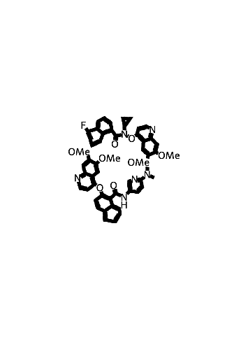 COc1cc2nccc(ON(C(=O)c3cccc4c(F)cccc34)C3CC3)c2cc1OC.COc1cc2nccc(Oc3ccc4ccccc4c3C(=O)Nc3ccc(N(C)C)nc3)c2cc1OC